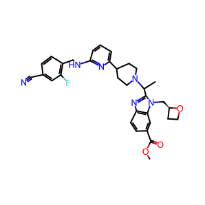 COC(=O)c1ccc2nc(C(C)N3CCC(c4cccc(NCc5ccc(C#N)cc5F)n4)CC3)n(C[C@@H]3CCO3)c2c1